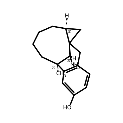 C[C@@]12CCCC[C@H]3CC3(Cc3ccc(O)cc31)[C@@H]2N